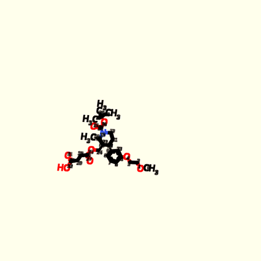 COCCOc1cccc([C@H]2CCN(C(=O)OC(C)(C)C)[C@@H](C)[C@@H]2COC(=O)CCC(=O)O)c1